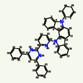 C1=CC(n2c3ccccc3c3c2ccc2c4ccccc4n(-c4cccc(-c5nc(-c6ccccc6)cc(-c6ccccc6)n5)n4)c23)=CCC1